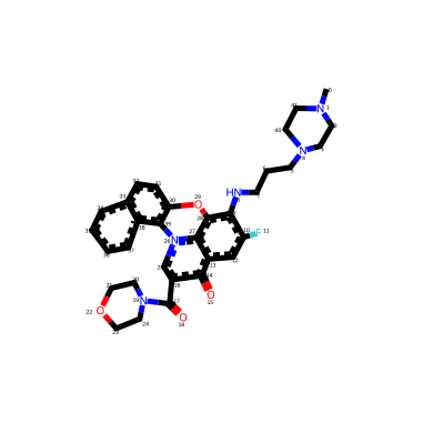 CN1CCN(CCCNc2c(F)cc3c(=O)c(C(=O)N4CCOCC4)cn4c3c2Oc2ccc3ccccc3c2-4)CC1